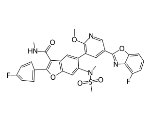 CNC(=O)c1c(-c2ccc(F)cc2)oc2cc(N(C)S(C)(=O)=O)c(-c3cc(-c4nc5c(F)cccc5o4)cnc3OC)cc12